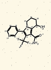 NC(=O)c1c(C(F)(F)F)c(-c2cccnc2)n2c1C(O)CCC2